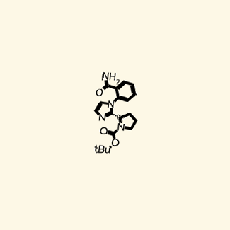 CC(C)(C)OC(=O)N1CCC[C@H]1c1nccn1-c1ccccc1C(N)=O